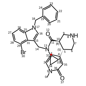 Cn1ccc([C@H]2CCNC[C@@H]2C(=O)N(Cc2cn(Cc3ccccc3)c3cccc(Br)c23)C2CC2)cc1=O